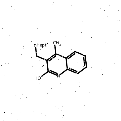 CCCCCCCCc1c(O)nc2ccccc2c1C